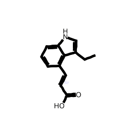 CCc1c[nH]c2cccc(/C=C/C(=O)O)c12